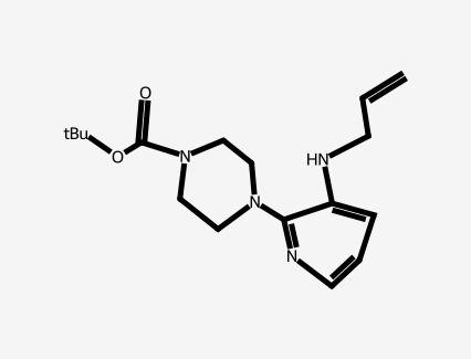 C=CCNc1cccnc1N1CCN(C(=O)OC(C)(C)C)CC1